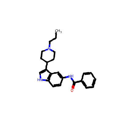 CCCN1CCC(c2c[nH]c3ccc(NC(=O)c4ccccc4)cc23)CC1